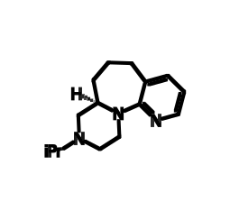 CC(C)N1CCN2c3ncccc3CCC[C@@H]2C1